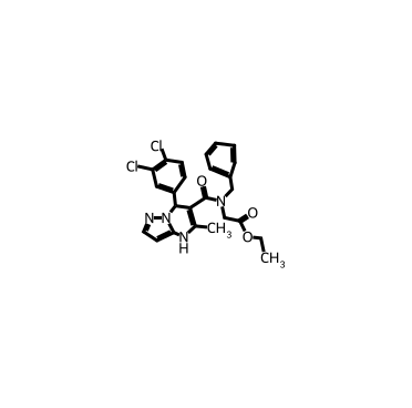 CCOC(=O)CN(Cc1ccccc1)C(=O)C1=C(C)Nc2ccnn2C1c1ccc(Cl)c(Cl)c1